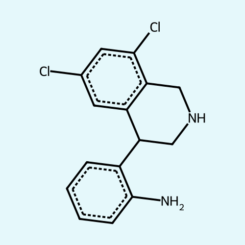 Nc1ccccc1C1CNCc2c(Cl)cc(Cl)cc21